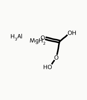 O=C(O)OO.[AlH3].[MgH2]